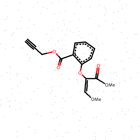 C#CCOC(=O)c1ccccc1O/C(=C/OC)C(=O)OC